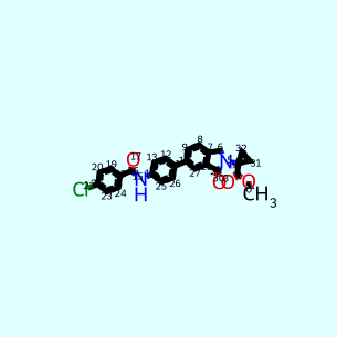 COC(=O)C1(N2Cc3ccc(-c4ccc(NC(=O)c5ccc(Cl)cc5)cc4)cc3C2=O)CC1